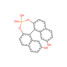 O=P1(O)Oc2ccc3ccc(O)cc3c2-c2c(ccc3ccc(O)cc23)O1